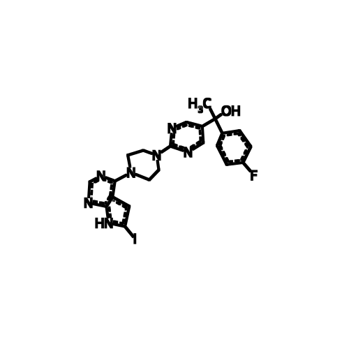 CC(O)(c1ccc(F)cc1)c1cnc(N2CCN(c3ncnc4[nH]c(I)cc34)CC2)nc1